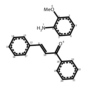 COc1ccccc1N.O=C(C=Cc1ccccc1)c1ccccc1